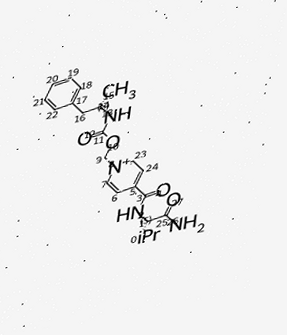 CC(C)[C@H](NC(=O)c1cc[n+](COC(=O)N[C@@H](C)Cc2ccccc2)cc1)C(N)=O